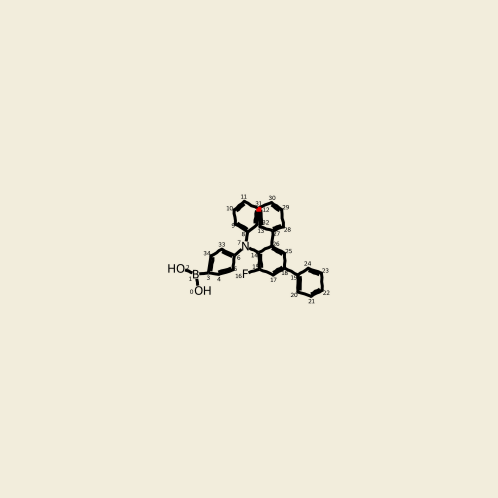 OB(O)c1ccc(N(c2ccccc2)c2c(F)cc(-c3ccccc3)cc2-c2ccccc2)cc1